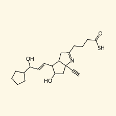 C#CC12CC(O)C(/C=C/C(O)C3CCCC3)C1CC(CCCC(=O)S)=N2